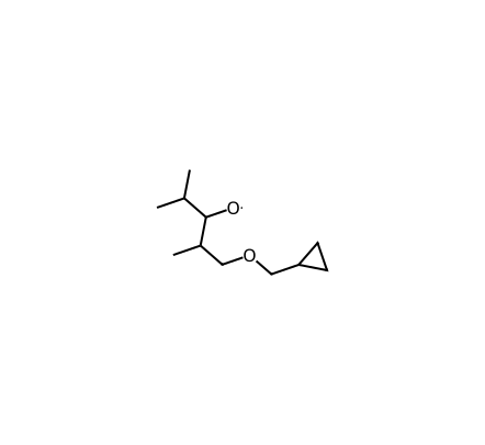 CC(C)C([O])C(C)COCC1CC1